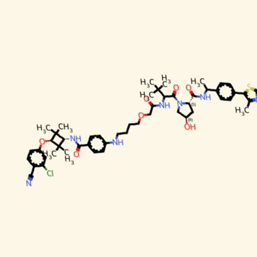 Cc1ncsc1-c1ccc(C(C)NC(=O)[C@@H]2C[C@@H](O)CN2C(=O)C(NC(=O)COCCCCNc2ccc(C(=O)N[C@H]3C(C)(C)[C@H](Oc4ccc(C#N)c(Cl)c4)C3(C)C)cc2)C(C)(C)C)cc1